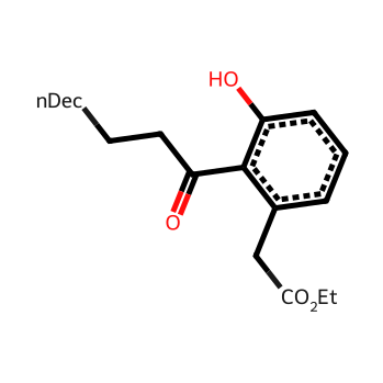 CCCCCCCCCCCCC(=O)c1c(O)cccc1CC(=O)OCC